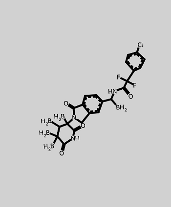 BC(NC(=O)C(F)(F)c1ccc(Cl)cc1)c1ccc2c(c1)CN(C1(B)C(=O)NC(=O)C(B)(B)C1B)C2=O